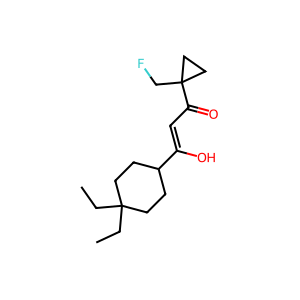 CCC1(CC)CCC(/C(O)=C/C(=O)C2(CF)CC2)CC1